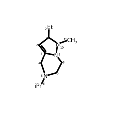 CCC1C=C2CN(C(C)C)CCN2N1C